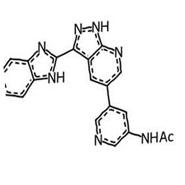 CC(=O)Nc1cncc(-c2cnc3[nH]nc(-c4nc5ccccc5[nH]4)c3c2)c1